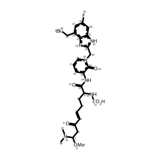 COC(CC(=O)/C=C/CCC(NC(=O)O)C(=O)Nc1cccn(Cc2nc3c(CC(C)(C)C)cc(F)cc3[nH]2)c1=O)N(C)C